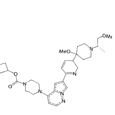 COC[C@H](C)N1CCC(OC)(C2C=CC(c3cc4c(N5CCN(C(=O)OC6COC6)CC5)ccnn4c3)=NC2)CC1